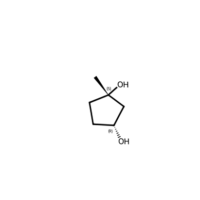 C[C@]1(O)CC[C@@H](O)C1